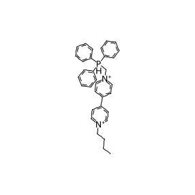 CCCC[n+]1ccc(-c2cc[n+](C[PH](c3ccccc3)(c3ccccc3)c3ccccc3)cc2)cc1